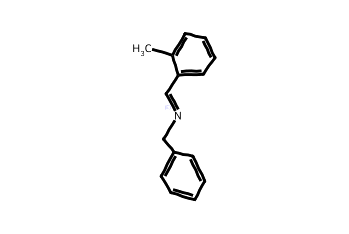 Cc1ccccc1/C=N/Cc1ccccc1